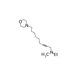 CCN(C)CC#CCC[CH]CCCN1CCOCC1